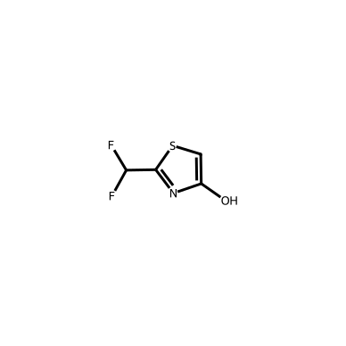 Oc1csc(C(F)F)n1